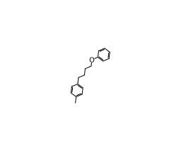 Cc1ccc(CCCCOc2ccccc2)cc1